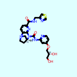 O=C(NCc1cscn1)c1ccc2c(n1)N(C(=O)Nc1cc(OC[C@H](O)CO)ccn1)[C@H]1CCN2C1